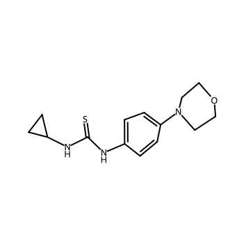 S=C(Nc1ccc(N2CCOCC2)cc1)NC1CC1